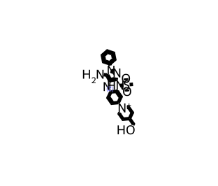 CS(=O)(=O)NC1=CC(=[N+]2CCC(CO)CC2)C=C/C1=N/c1cnn(-c2ccccc2)c1N